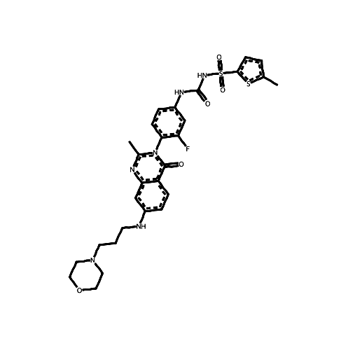 Cc1ccc(S(=O)(=O)NC(=O)Nc2ccc(-n3c(C)nc4cc(NCCCN5CCOCC5)ccc4c3=O)c(F)c2)s1